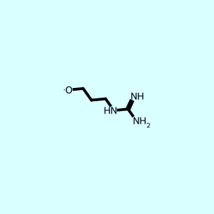 N=C(N)NCCC[O]